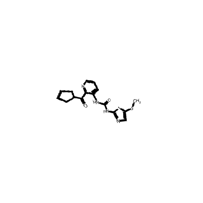 CSc1cnc(NC(=O)Nc2cccnc2C(=O)C2CCCC2)s1